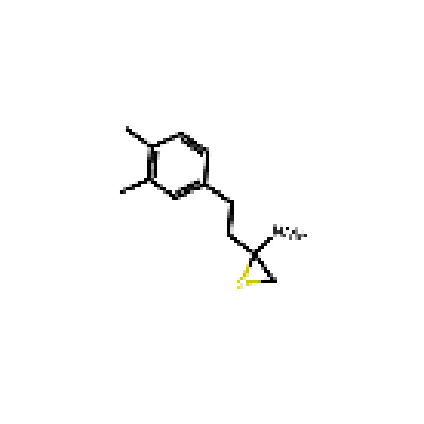 CNC1(CCc2ccc(C)c(C)c2)CS1